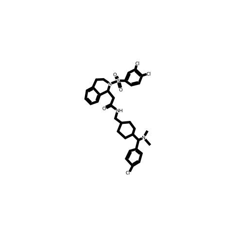 CN(C)C(c1ccc(Cl)cc1)C1CCC(CNC(=O)CC2c3ccccc3CCN2S(=O)(=O)c2ccc(Cl)c(Cl)c2)CC1